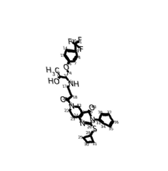 C[C@H](O)[C@H](COc1ccc(C(F)(F)F)cc1)NCCC(=O)N1CCc2nc(SC3CCC3)n(-c3ccccc3)c(=O)c2C1